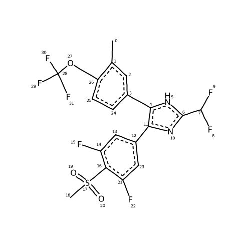 Cc1cc(-c2[nH]c(C(F)F)nc2-c2cc(F)c(S(C)(=O)=O)c(F)c2)ccc1OC(F)(F)F